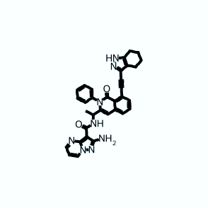 CC(NC(=O)c1c(N)nn2cccnc12)c1cc2cccc(C#Cc3n[nH]c4c3CCCC4)c2c(=O)n1-c1ccccc1